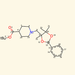 CC(C)(C)OC(=O)C1CCN(CC2(C)OB(c3ccccc3)OC2(C)C)CC1